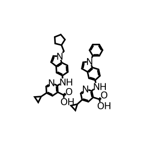 O=C(O)c1cc(C2CC2)cnc1Nc1ccc2c(ccn2-c2ccccc2)c1.O=C(O)c1cc(C2CC2)cnc1Nc1ccc2c(ccn2CC2CCCC2)c1